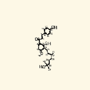 COc1ccc(C(=O)/C=C/c2ccc(O)cc2)c(O)c1C/C=C(\C)C/C=C/C(C)(C)O